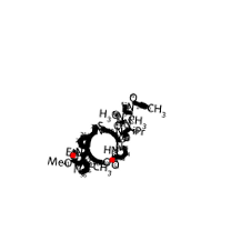 CC#CC(=O)N1CC(N(C)C(=O)N(C)[C@H](C(=O)N[C@H]2Cc3nc(cs3)-c3ccc4c(c3)c(c(-c3cccnc3[C@H](C)OC)n4CC)CC(C)(C)COC(=O)[C@@H]3CCCN(N3)C2=O)C(C)C)C1